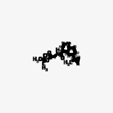 CC(C)(C)OC(=O)CNC(=O)c1ccnc2ccc(C3(C)CC3)cc12